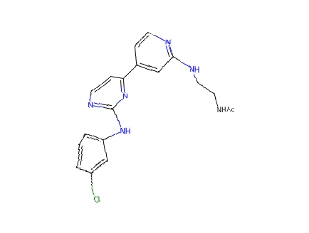 CC(=O)NCCNc1cc(-c2ccnc(Nc3cccc(Cl)c3)n2)ccn1